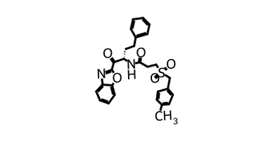 Cc1ccc(CS(=O)(=O)CCC(=O)N[C@@H](CCc2ccccc2)C(=O)c2nc3ccccc3o2)cc1